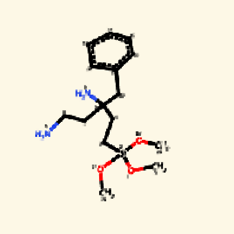 CO[Si](CCC(N)(CCN)Cc1ccccc1)(OC)OC